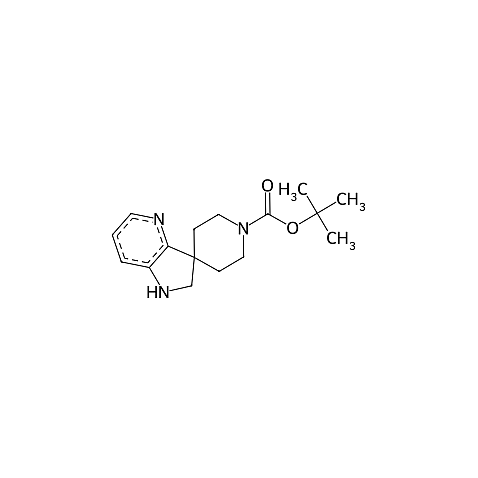 CC(C)(C)OC(=O)N1CCC2(CC1)CNc1cccnc12